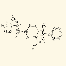 CC(C)(C)OC(=O)N1CCN(S(=O)(=O)c2ccccc2)C(C=O)C1